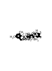 BC(B)(OP1(=O)OCc2cc(C)cc(C)c2O1)[C@@]1(F)O[C@@](B)(n2cc(F)c(=S)[nH]c2=O)[C@H](O)[C@@H]1O